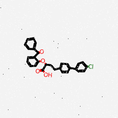 O=C(c1ccccc1)c1ccccc1OC(CCc1ccc(-c2ccc(Cl)cc2)cc1)C(=O)O